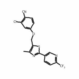 Cc1nc(-c2ccc(C(F)(F)F)nc2)sc1COc1ccc(C#N)c(Cl)c1